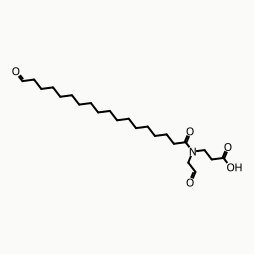 O=CCCCCCCCCCCCCCCCCC(=O)N(CC=O)CCC(=O)O